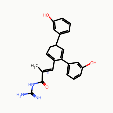 C/C(=C\C1=CCC(c2cccc(O)c2)C=C1c1cccc(O)c1)C(=O)NC(=N)N